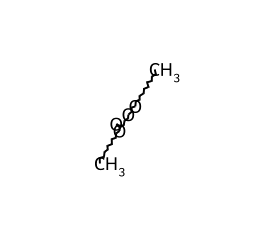 CCCCCCCCCCCOCCOCCCC(=O)OCCCCCCCCCC